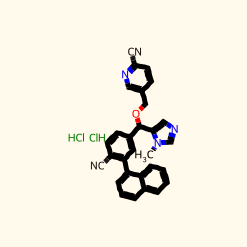 Cl.Cl.Cn1cncc1C(OCc1ccc(C#N)nc1)c1ccc(C#N)c(-c2cccc3ccccc23)c1